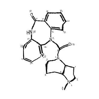 CN1CCC2C1CCN2C(=O)N1c2ccccc2C(=O)Nc2cccnc21